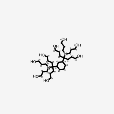 OCCCN(CCCO)C(CCCO)(CCCO)C1CCCC(C(CCCO)(CCCO)N(CCCO)CCCO)C1